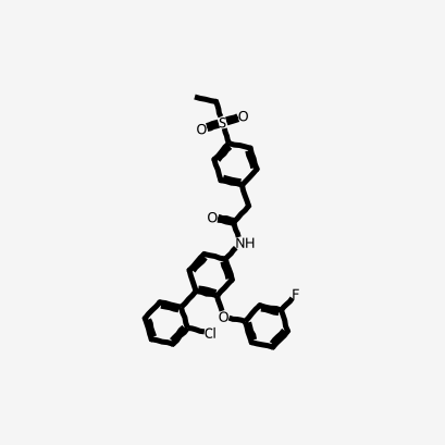 CCS(=O)(=O)c1ccc(CC(=O)Nc2ccc(-c3ccccc3Cl)c(Oc3cccc(F)c3)c2)cc1